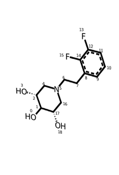 OC1[C@H](O)CN(CCc2cccc(F)c2F)C[C@@H]1O